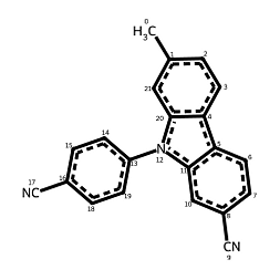 Cc1ccc2c3ccc(C#N)cc3n(-c3ccc(C#N)cc3)c2c1